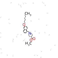 CCCCCCCOc1ccc2c(CN3CCC(C(=O)OCC)CC3)cccc2c1